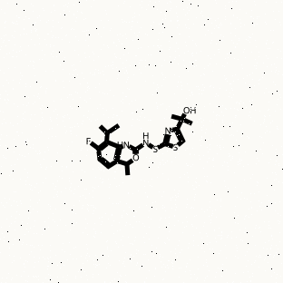 CC(C)c1ccc(F)c(C(C)C)c1NC(=O)NSc1nc(C(C)(C)O)cs1